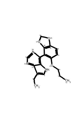 [CH2]Cc1c[nH]c2c(-c3c(OCCC)ccc4c3OCO4)ncnc12